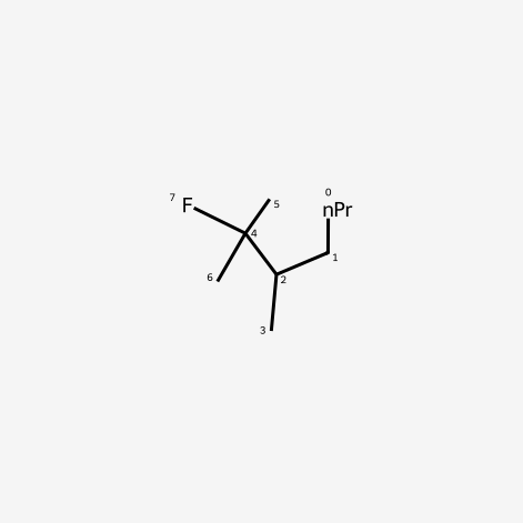 CCCCC(C)C(C)(C)F